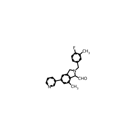 Cc1cc(CN2Cc3cc(-c4cccnc4)cc(C)c3C2C=O)ccc1F